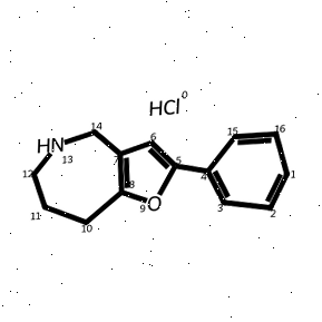 Cl.c1ccc(-c2cc3c(o2)CCCNC3)cc1